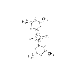 C[C@@H]1CN(c2c([O-])[c+](N3C[C@@H](C)O[C@@H](C)C3)[c+]2[O-])C[C@H](C)O1